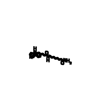 NC(=O)CCCCCCCNC(=O)CCc1ccc2c(c1)[nH]c1ccncc12